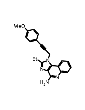 CCc1nc2c(N)nc3ccccc3c2n1CC#Cc1ccc(OC)cc1